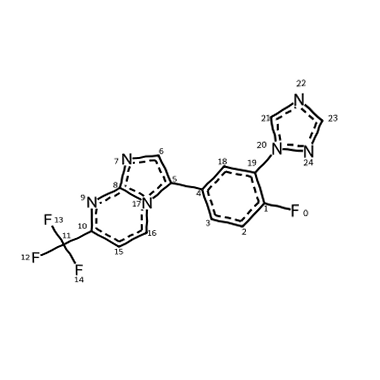 Fc1ccc(-c2cnc3nc(C(F)(F)F)ccn23)cc1-n1cncn1